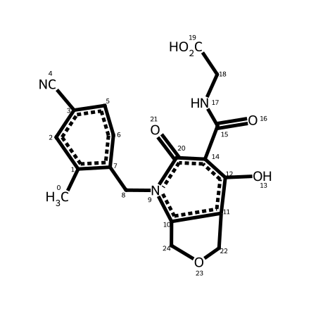 Cc1cc(C#N)ccc1Cn1c2c(c(O)c(C(=O)NCC(=O)O)c1=O)COC2